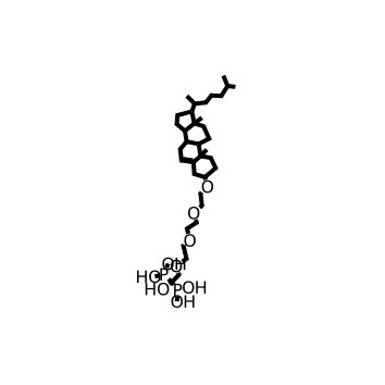 CC(C)CCCC(C)C1CCC2C3CC=C4CC(OCCOCCOCCOCC(O)(P(O)O)P(O)O)CCC4(C)C3CCC12C